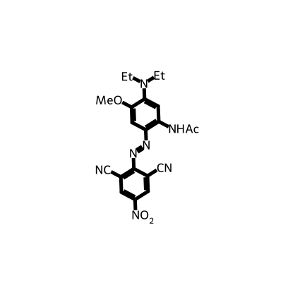 CCN(CC)c1cc(NC(C)=O)c(N=Nc2c(C#N)cc([N+](=O)[O-])cc2C#N)cc1OC